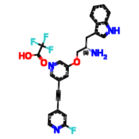 N[C@H](COc1cncc(C#Cc2ccnc(F)c2)c1)Cc1c[nH]c2ccccc12.O=C(O)C(F)(F)F